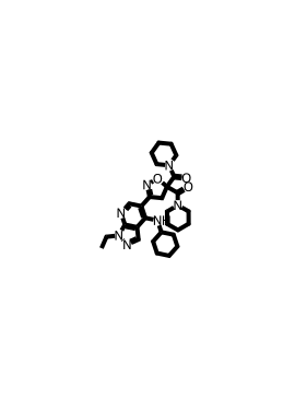 CCn1ncc2c(NC3CCCCC3)c(C3=NOC(C(=O)N4CCCCC4)(C(=O)N4CCCCC4)C3)cnc21